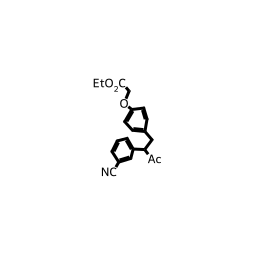 CCOC(=O)COc1ccc(CC(C(C)=O)c2cccc(C#N)c2)cc1